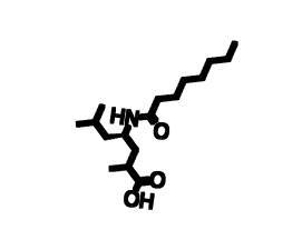 CCCCCCCC(=O)N[C@H](CC(C)C)CC(C)C(=O)O